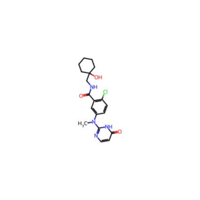 CN(c1ccc(Cl)c(C(=O)NCC2(O)CCCCC2)c1)c1nccc(=O)[nH]1